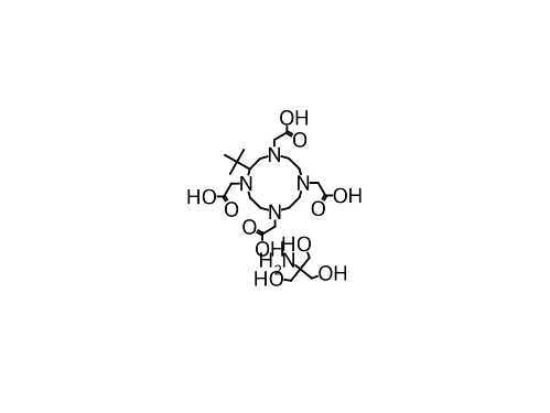 CC(C)(C)C1CN(CC(=O)O)CCN(CC(=O)O)CCN(CC(=O)O)CCN1CC(=O)O.NC(CO)(CO)CO